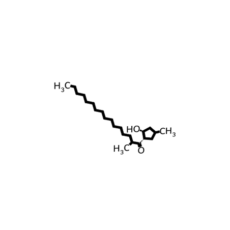 CCCCCCCCCCCCCCC(C)C(=O)[C@H]1CC(C)C[C@@H]1O